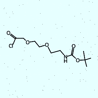 CC(C)(C)OC(=O)NCCOCCOCC(=O)Cl